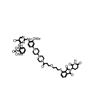 COc1cc(N2CCC(N3CCN(C(=O)CCOCCCSc4cccc5c4C(=O)N(C4CCC(=O)NC4=O)C5=O)CC3)CC2)ccc1Nc1ncc(Cl)c(Nc2ccccc2P(=O)(OC)OC)n1